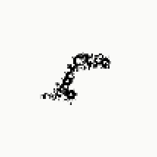 CCCOC(=O)[C@H](C)N[P@](=O)(Oc1ccccc1)[C@H](F)c1ccc2sc(C(=O)N[C@H]3CCC[C@H]4CC[C@@H](C(=O)N5CC(c6cnccc6OC)C5)N4C3=O)cc2c1